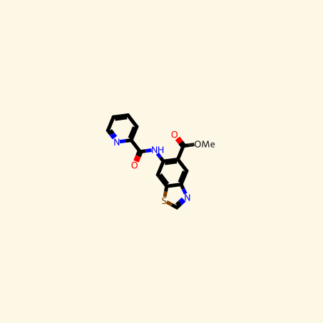 COC(=O)c1cc2ncsc2cc1NC(=O)c1ccccn1